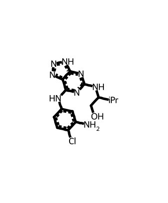 CC(C)C(CO)Nc1nc(Nc2ccc(Cl)c(N)c2)c2nn[nH]c2n1